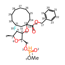 CO[PH](=O)OC[C@H]1O[C@@H](C)C(F)C1OC1(C(=O)OCc2ccccc2)CCCCCCCCC1